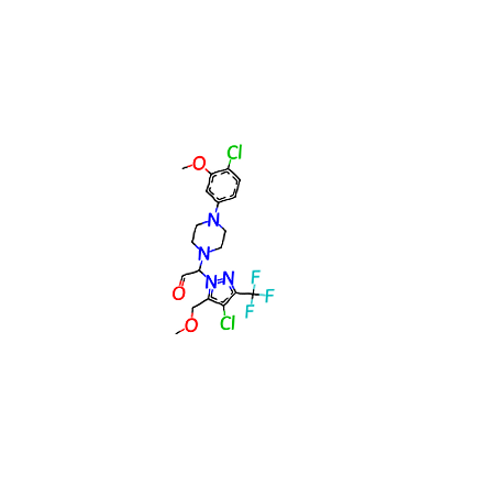 COCc1c(Cl)c(C(F)(F)F)nn1C(C=O)N1CCN(c2ccc(Cl)c(OC)c2)CC1